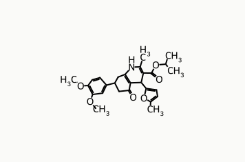 COc1ccc(C2CC(=O)C3=C(C2)NC(C)=C(C(=O)OC(C)C)C3c2ccc(C)o2)cc1OC